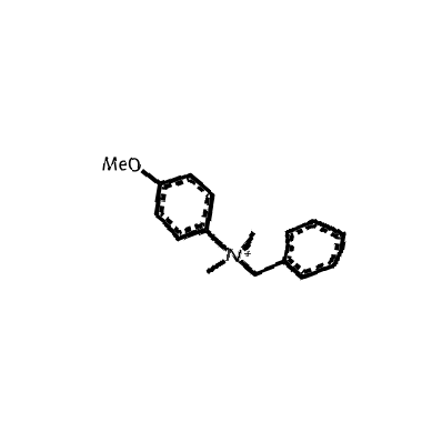 COc1ccc([N+](C)(C)Cc2ccccc2)cc1